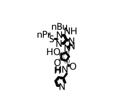 CCCCNc1nc(SCCC)nc2c1nnn2[C@@H]1C[C@H](C(=O)NCc2cccnc2)[C@@H](O)[C@H]1O